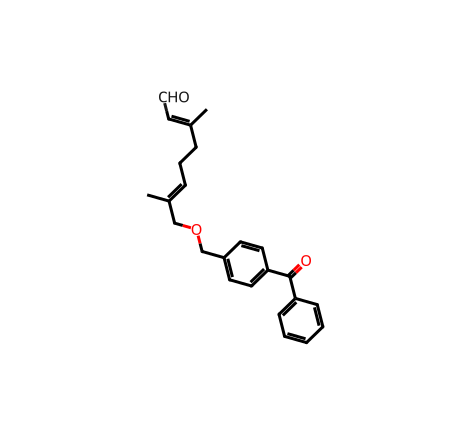 CC(=CC=O)CCC=C(C)COCc1ccc(C(=O)c2ccccc2)cc1